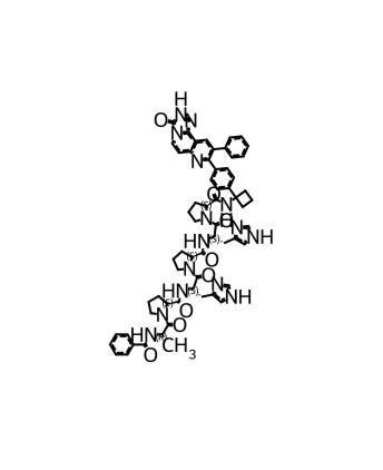 C[C@@H](NC(=O)c1ccccc1)C(=O)N1CCC[C@H]1C(=O)N[C@@H](Cc1c[nH]cn1)C(=O)N1CCC[C@H]1C(=O)N[C@@H](Cc1c[nH]cn1)C(=O)N1CCC[C@H]1C(=O)NC1(c2ccc(-c3nc4ccn5c(=O)[nH]nc5c4cc3-c3ccccc3)cc2)CCC1